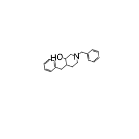 OC1CN(Cc2ccccc2)CCC1Cc1ccccc1